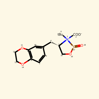 CC(C)(C)[N+]1(C(=O)[O-])[C@@H](Cc2ccc3c(c2)OCCO3)COS1=O